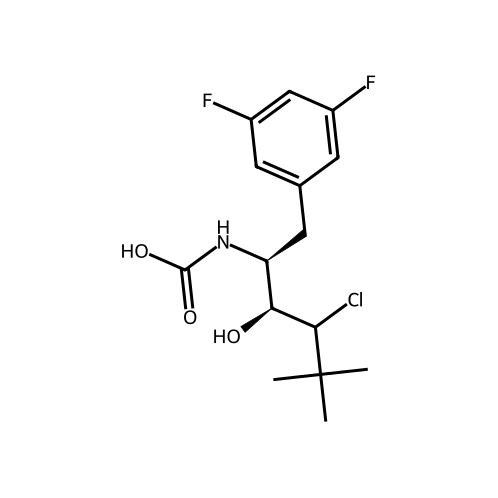 CC(C)(C)C(Cl)[C@@H](O)[C@H](Cc1cc(F)cc(F)c1)NC(=O)O